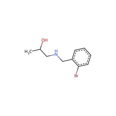 CC(O)CNCc1ccccc1Br